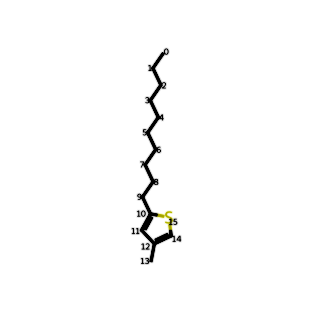 CCCCCCCCCCc1cc(C)cs1